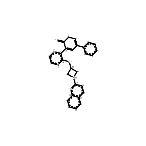 S=C1CC=C(c2ccccc2)C=C1c1nccnc1OC1CN(c2ccc3ccccc3n2)C1